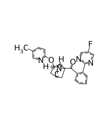 Cc1ccc(O[C@@H]2CC3CC[C@@H]2N(C(=O)c2ccccc2-c2ncc(F)cn2)C3)nc1